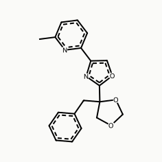 Cc1cccc(-c2coc(C3(Cc4ccccc4)COCO3)n2)n1